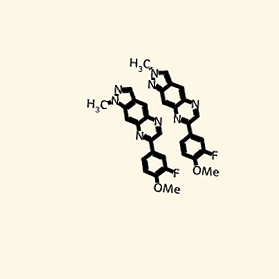 COc1ccc(-c2cnc3cc4cn(C)nc4cc3n2)cc1F.COc1ccc(-c2cnc3cc4cnn(C)c4cc3n2)cc1F